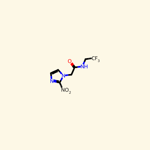 O=C(Cn1ccnc1[N+](=O)[O-])NCC(F)(F)F